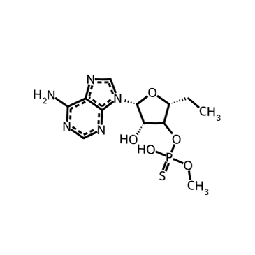 CC[C@H]1O[C@@H](n2cnc3c(N)ncnc32)[C@@H](O)C1OP(O)(=S)OC